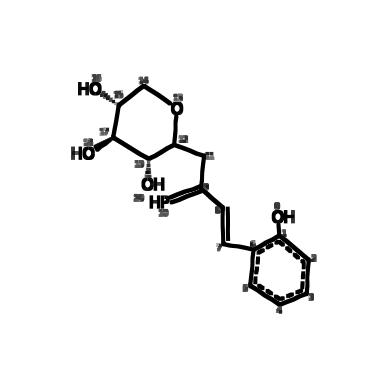 Oc1ccccc1/C=C/C(=P)CC1OC[C@@H](O)[C@H](O)[C@H]1O